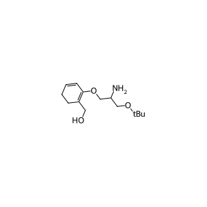 CC(C)(C)OCC(N)COC1=C(CO)CCC=C1